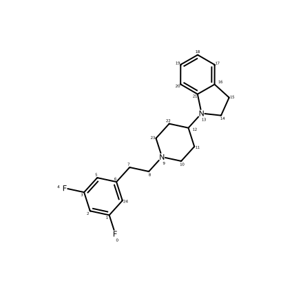 Fc1cc(F)cc(CCN2CCC(N3CCc4ccccc43)CC2)c1